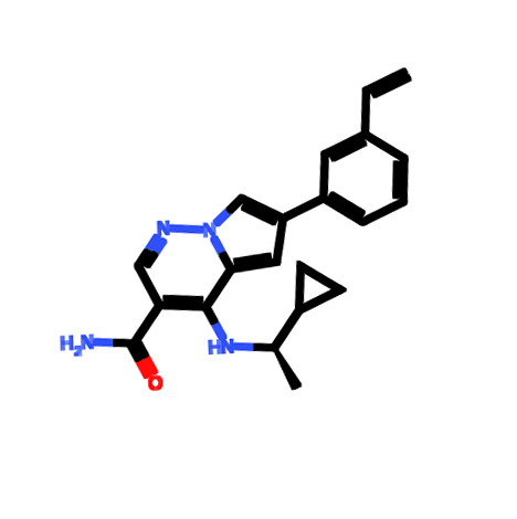 C=Cc1cccc(-c2cc3c(N[C@H](C)C4CC4)c(C(N)=O)cnn3c2)c1